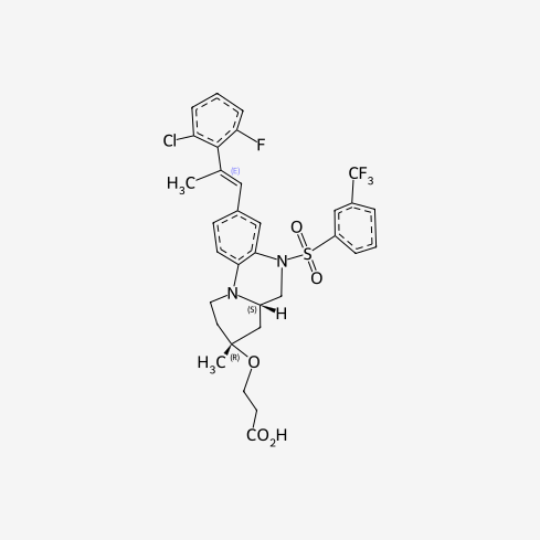 C/C(=C\c1ccc2c(c1)N(S(=O)(=O)c1cccc(C(F)(F)F)c1)C[C@@H]1C[C@](C)(OCCC(=O)O)CCN21)c1c(F)cccc1Cl